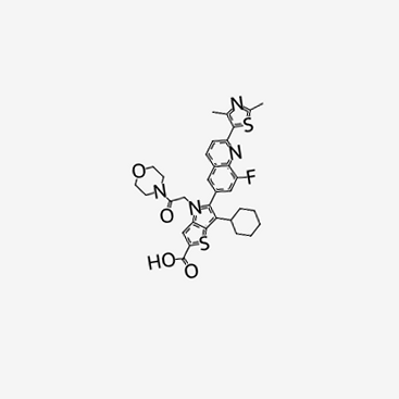 Cc1nc(C)c(-c2ccc3cc(-c4c(C5CCCCC5)c5sc(C(=O)O)cc5n4CC(=O)N4CCOCC4)cc(F)c3n2)s1